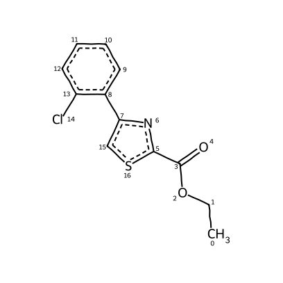 CCOC(=O)c1nc(-c2ccccc2Cl)cs1